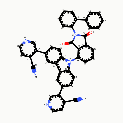 N#Cc1ccncc1-c1ccc2c(c1)c1cc(-c3cnccc3C#N)ccc1n2-c1cccc2c1C(=O)N(c1ccccc1-c1ccccc1)C2=O